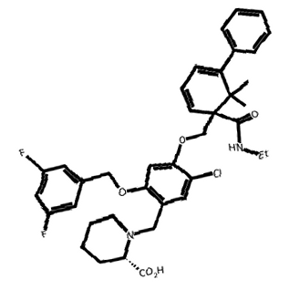 CCNC(=O)C1(COc2cc(OCc3cc(F)cc(F)c3)c(CN3CCCC[C@H]3C(=O)O)cc2Cl)C=CC=C(c2ccccc2)C1(C)C